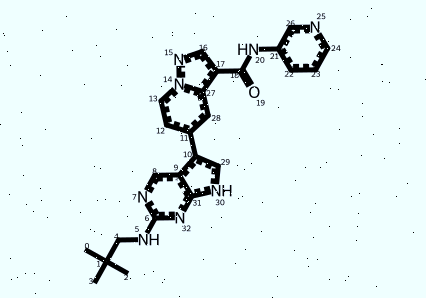 CC(C)(C)CNc1ncc2c(-c3ccn4ncc(C(=O)Nc5cccnc5)c4c3)c[nH]c2n1